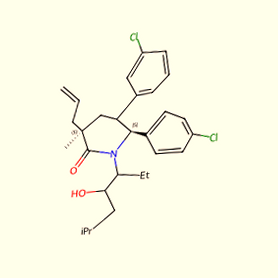 C=CC[C@@]1(C)CC(c2cccc(Cl)c2)[C@@H](c2ccc(Cl)cc2)N(C(CC)C(O)CC(C)C)C1=O